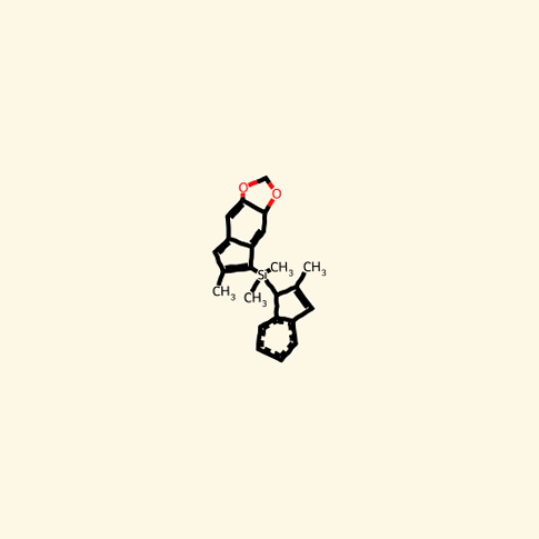 CC1=Cc2ccccc2C1[Si](C)(C)C1=C(C)C=C2C=C3OCOC3C=C21